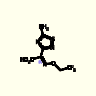 Nc1nc(/C(=N\OCC(F)(F)F)C(=O)O)ns1